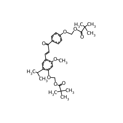 COc1cc(OCOC(=O)C(C)(C)C)c(C(C)C)cc1/C=C/C(=O)c1ccc(OCOC(=O)C(C)(C)C)cc1